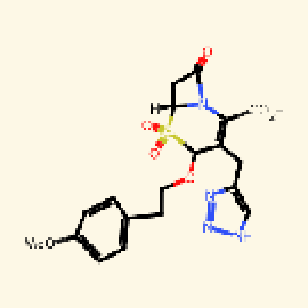 COc1ccc(CCOC2C(Cc3c[nH]nn3)=C(C(=O)O)N3C(=O)C[C@H]3S2(=O)=O)cc1